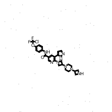 O=C(Nc1ccc(OC(F)(F)Cl)cc1)c1cnc(N2CC(N3CCN(C4CNC4)CC3)C2)c(-c2ccn[nH]2)c1